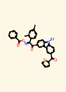 CCn1c2ccc(C(=O)/C(=N/OC(=O)c3ccccc3)c3ccc(C)cc3C)cc2c2cc(C(=O)c3cccs3)ccc21